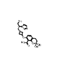 O=C(O)c1c(OC2CN(C[C@@H](CO)n3ccnn3)C2)ccc2c1O[B-](O)(O)CC2